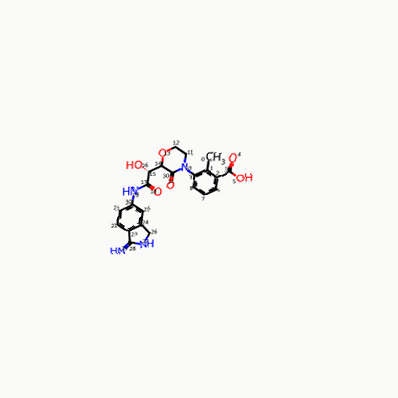 Cc1c(C(=O)O)cccc1N1CCOC([C@@H](O)C(=O)Nc2ccc3c(c2)CNC3=N)C1=O